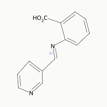 O=C(O)c1ccccc1/N=C/c1cccnc1